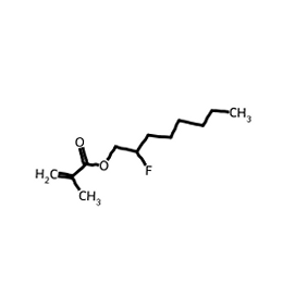 C=C(C)C(=O)OCC(F)CCCCCC